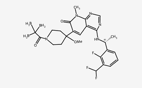 BC(B)(B)C(=O)N1CCC(OC)(c2cc3c(N[C@H](C)c4cccc(C(F)F)c4F)ncnc3n(C)c2=O)CC1